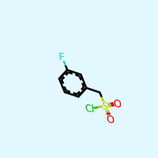 O=S(=O)(Cl)Cc1cccc(F)c1